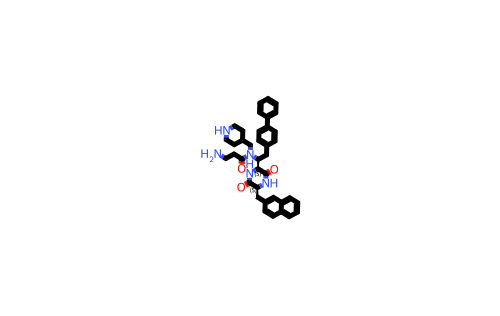 NCCC(=O)N(CC1CCNCC1)C(Cc1ccc(-c2ccccc2)cc1)[C@@H]1NC(=O)[C@H](Cc2ccc3ccccc3c2)NC1=O